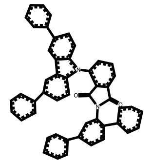 O=C1c2cccc(-n3c4ccc(-c5ccccc5)cc4c4cc(-c5ccccc5)ccc43)c2C(=O)N1c1cc(-c2ccccc2)ccc1-c1ccccc1